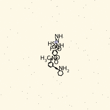 C[C@H](c1cccc(C#CC2(N)CCCCC2)c1)n1c(=O)oc2cc(S(=O)(=O)N/C(S)=N/C=N)c(F)cc21